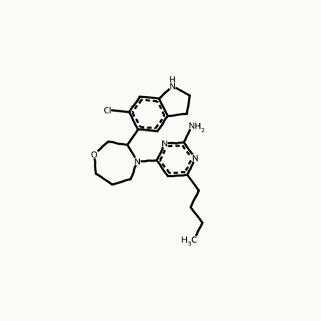 CCCCc1cc(N2CCCOCC2c2cc3c(cc2Cl)NCC3)nc(N)n1